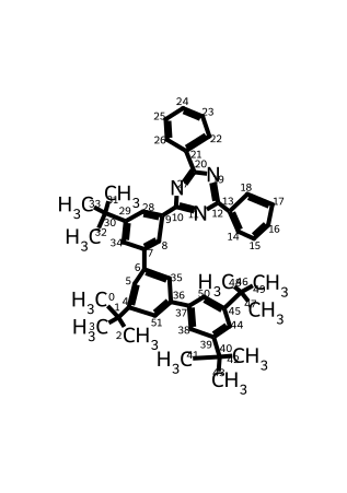 CC(C)(C)c1cc(-c2cc(-c3nc(-c4ccccc4)nc(-c4ccccc4)n3)cc(C(C)(C)C)c2)cc(-c2cc(C(C)(C)C)cc(C(C)(C)C)c2)c1